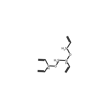 C=C[SiH2]O[SiH](C=C)[SiH2]O[SiH](C=C)C=C